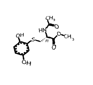 COC(=O)[C@H](CSc1cc(O)ccc1O)NC(C)=O